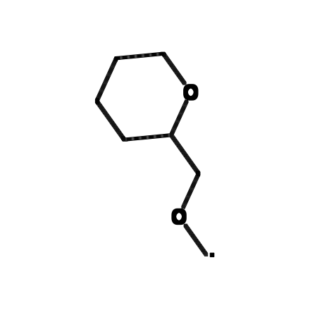 [CH2]OCC1CCCCO1